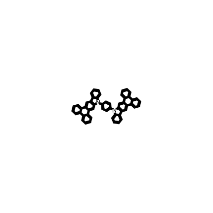 c1ccc2c(c1)c1ccccc1c1cc3c(cc21)c1ccccc1n3-c1ccc(-n2c3ccccc3c3cc4c5ccccc5c5ccccc5c4cc32)cc1